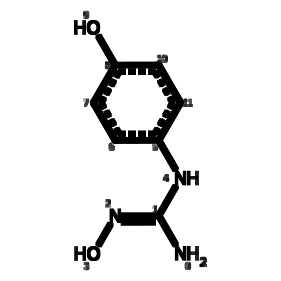 NC(=NO)Nc1ccc(O)cc1